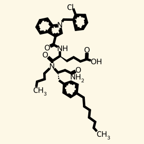 CCCCCCCc1ccc(C[C@@H](CC(N)=O)N(CCCC)C(=O)[C@H](CCCC(=O)O)NC(=O)c2cn(Cc3ccccc3Cl)c3ccccc23)cc1